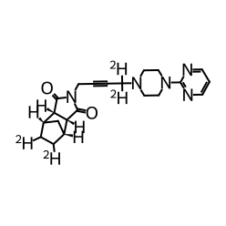 [2H]C1C([2H])[C@@H]2C[C@H]1[C@@H]1C(=O)N(CC#CC([2H])([2H])N3CCN(c4ncccn4)CC3)C(=O)[C@@H]12